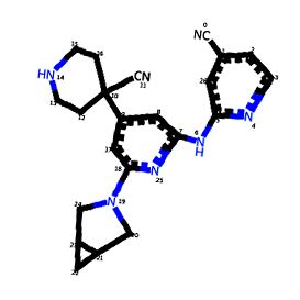 N#Cc1ccnc(Nc2cc(C3(C#N)CCNCC3)cc(N3CC4CC4C3)n2)c1